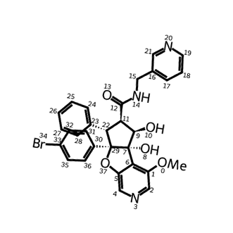 COc1cncc2c1[C@]1(O)[C@H](O)[C@H](C(=O)NCc3cccnc3)[C@@H](c3ccccc3)[C@]1(c1ccc(Br)cc1)O2